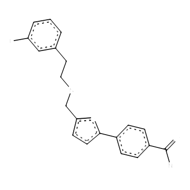 NC(=O)c1ccc(-c2ccc(CNCCc3cccc(F)c3)s2)cc1